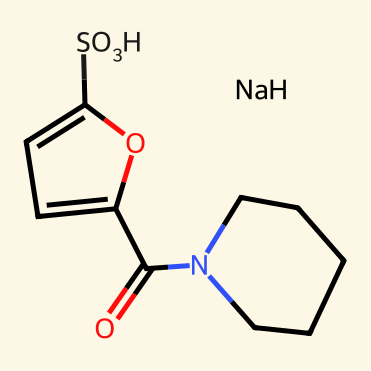 O=C(c1ccc(S(=O)(=O)O)o1)N1CCCCC1.[NaH]